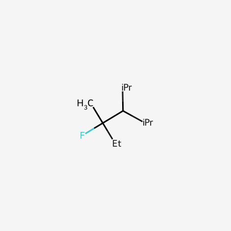 CCC(C)(F)C(C(C)C)C(C)C